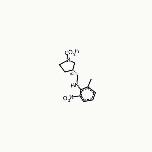 Cc1cccc([N+](=O)[O-])c1NC[C@@H]1CCN(C(=O)O)C1